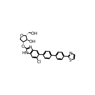 OC[C@H]1OC[C@@H](Oc2nc3cc(-c4ccc(-c5ccc(-c6nccs6)cc5)cc4)c(Cl)cc3[nH]2)[C@@H]1O